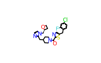 O=C(c1ncc(Cc2ccc(Cl)cc2F)s1)N1CCC(Cc2nccn2C[C@@H]2CCO2)CC1